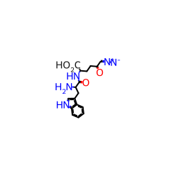 [N-]=[N+]=CC(=O)CCC(NC(=O)C(N)Cc1c[nH]c2ccccc12)C(=O)O